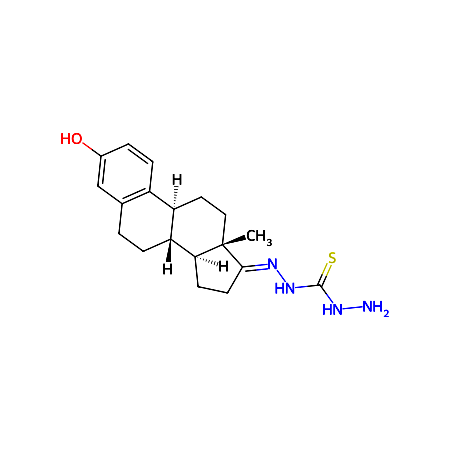 C[C@]12CC[C@@H]3c4ccc(O)cc4CC[C@H]3[C@@H]1CC/C2=N\NC(=S)NN